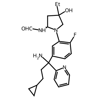 CCC1(O)C[C@H](NC=O)N(c2cc(C(N)(CCC3CC3)c3ccccn3)ccc2F)C1